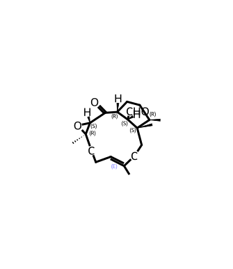 C/C1=C\CC[C@@]2(C)O[C@@H]2C(=O)[C@@H]2CC[C@@H](C)[C@](C)(CC1)[C@H]2C=O